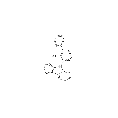 [2H]c1c(-c2ccccn2)cccc1-n1c2ccccc2c2ccccc21